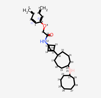 C=C/C=C\C(=C/C=C)OCC(=O)NC12CC(C3CCCC(BC4CCCCCCC4)CCC3)(C1)C2